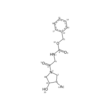 CC(=O)C1CN(C(=O)CNC(=O)OCc2ccccc2)CC1O